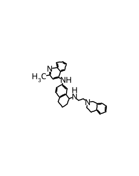 Cc1cc(Nc2ccc3c(c2)C(NCCN2CCc4ccccc4C2)CCC3)c2ccccc2n1